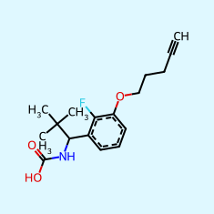 C#CCCCOc1cccc(C(NC(=O)O)C(C)(C)C)c1F